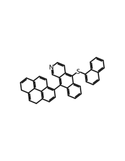 C1=Cc2ccc3c(-c4c5ccccc5c(Sc5cccc6ccccc56)c5ccncc45)ccc4c3c2C(=CC4)C1